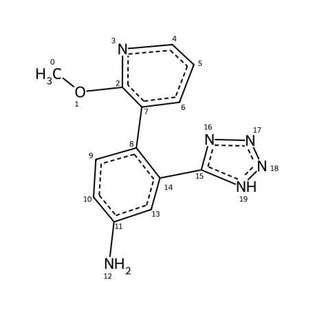 COc1ncccc1-c1ccc(N)cc1-c1nnn[nH]1